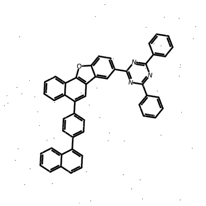 c1ccc(-c2nc(-c3ccccc3)nc(-c3ccc4oc5c6ccccc6c(-c6ccc(-c7cccc8ccccc78)cc6)cc5c4c3)n2)cc1